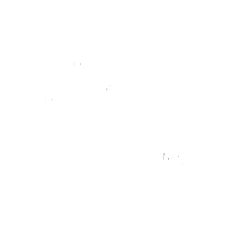 O=C(Cl)c1occc1-c1ccc([N+](=O)[O-])cc1